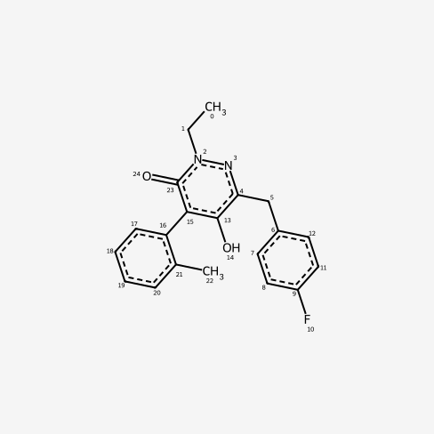 CCn1nc(Cc2ccc(F)cc2)c(O)c(-c2ccccc2C)c1=O